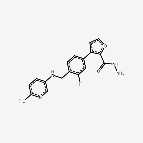 NNC(=O)c1occc1-c1ccc(CNc2ccc(C(F)(F)F)nc2)c(F)c1